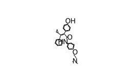 CN(C)CCOc1ccc(NC(=O)C(=C(c2ccccc2)C2CC2)c2ccc(O)cc2)cc1